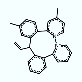 C=CC1c2ccccc2-c2cccc[n+]2-[n+]2ccc(C)cc2-c2ccc(C)cc21